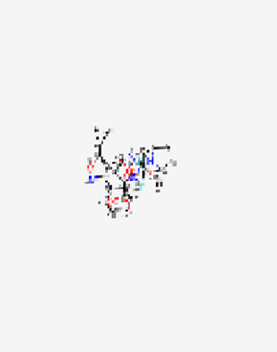 COC(=O)c1ccnc(N2C3CC[C@H]2CC(OCc2c(-c4ccccc4OC(F)(F)F)noc2C2CC2)C3)n1